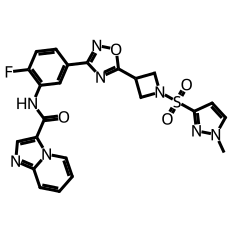 Cn1ccc(S(=O)(=O)N2CC(c3nc(-c4ccc(F)c(NC(=O)c5cnc6ccccn56)c4)no3)C2)n1